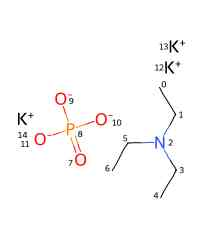 CCN(CC)CC.O=P([O-])([O-])[O-].[K+].[K+].[K+]